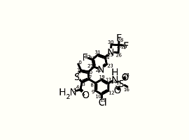 Cc1sc(C(N)=O)c(-c2cc(Cl)cc(NS(C)(=O)=O)c2)c1-c1ncc(N2CC(F)(F)C2)cc1F